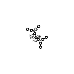 CC1(c2ccc(N(c3ccc(-c4ccccc4)cc3)c3ccc(-c4ccccc4)cc3)cc2O)C(O)C(c2ccc(N(c3ccc(-c4ccccc4)cc3)c3ccc(-c4ccccc4)cc3)cc2O)C1O